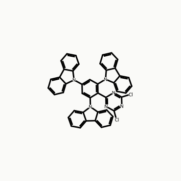 Clc1nc(Cl)nc(-c2c(-n3c4ccccc4c4ccccc43)cc(-n3c4ccccc4c4ccccc43)cc2-n2c3ccccc3c3ccccc32)n1